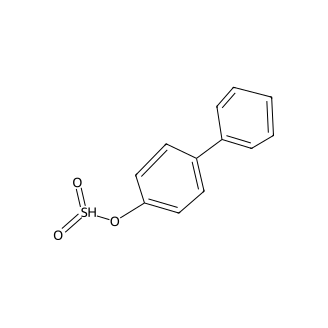 O=[SH](=O)Oc1ccc(-c2ccccc2)cc1